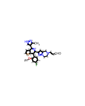 Cc1n[nH]cc1-c1nc(-c2cc3n(n2)CCN(C=CC=O)C3)c(-c2ccc(F)cc2OC(C)C)c2sccc12